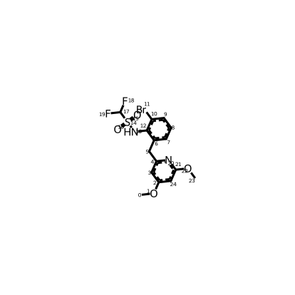 COc1cc(Cc2cccc(Br)c2NS(=O)(=O)C(F)F)nc(OC)c1